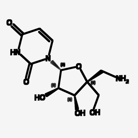 NC[C@]1(CO)O[C@@H](n2ccc(=O)[nH]c2=O)[C@H](O)[C@@H]1O